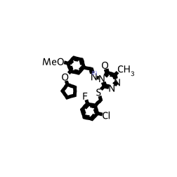 COc1ccc(/C=N/n2c(SCc3c(F)cccc3Cl)nnc(C)c2=O)cc1OC1CCCC1